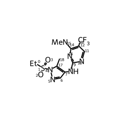 CCS(=O)(=O)n1ncc(Nc2ncc(C(F)(F)F)c(NC)n2)c1C